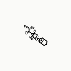 CCOC(=O)N1C2CCCC1CC(N1C[C@@H]3C(C(=O)N(CC)CC)[C@@H]3C1)C2